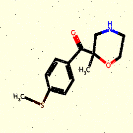 CSc1ccc(C(=O)C2(C)CNCCO2)cc1